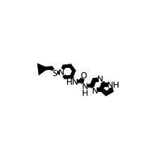 O=C(Nc1cnc2[nH]ccc2n1)NC1CCCN(SCC2CC2)C1